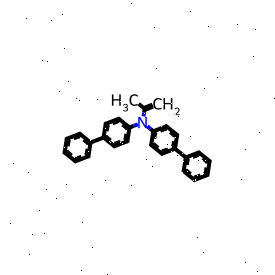 C=C(C)N(c1ccc(-c2ccccc2)cc1)c1ccc(-c2ccccc2)cc1